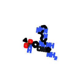 COc1cc(NS(=O)(=O)C2CC2)ccc1-n1nc(N[C@H]2C[C@@H](N)C2)c2cnc(-c3cnn4cccnc34)cc21